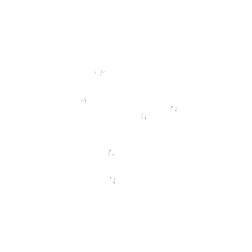 CCCC[N+]1(CC[N+]2(CCCC)C=CN=C2)C=CN=C1